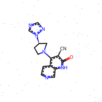 N#Cc1c(N2CC[C@@H](n3cncn3)C2)c2ccncc2[nH]c1=O